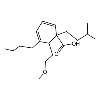 CCCCC1=CC=CC(CCC(C)C)(C(=O)O)C1CCOC